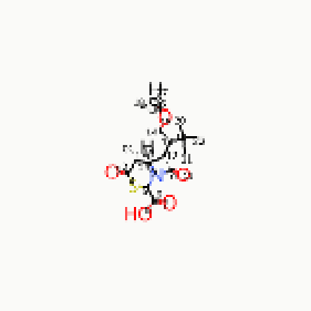 C[C@H]1C(=O)SC(C(=O)O)N2C(=O)[C@@H]([C@@H](CO[SiH](C)C)C(C)(C)C)[C@@H]12